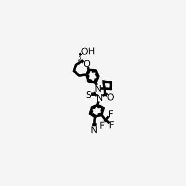 N#Cc1ccc(N2C(=O)C3(CCC3)N(c3ccc4c(c3)CCC[C@H](CO)O4)C2=S)cc1C(F)(F)F